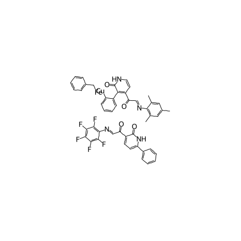 Cc1cc(C)c(N=CC(=O)c2cc[nH]c(=O)c2-c2cccc[c]2[Cu])c(C)c1.O=C(C=Nc1c(F)c(F)c(F)c(F)c1F)c1ccc(-c2ccccc2)[nH]c1=O.[Fe][CH2]c1ccccc1